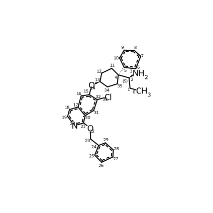 CC[C@H](N)[C@]1(c2ccccc2)CC[C@H](Oc2cc3ccnc(OCc4ccccc4)c3cc2Cl)CC1